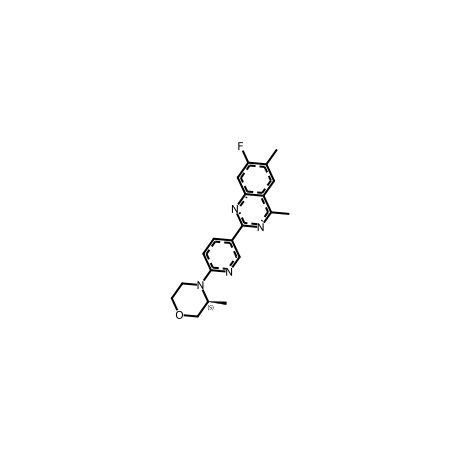 Cc1cc2c(C)nc(-c3ccc(N4CCOC[C@@H]4C)nc3)nc2cc1F